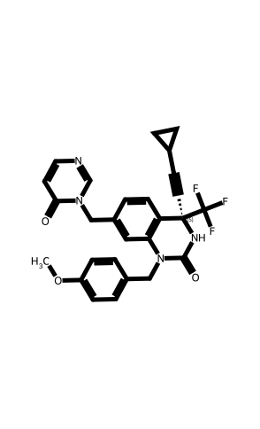 COc1ccc(CN2C(=O)N[C@](C#CC3CC3)(C(F)(F)F)c3ccc(Cn4cnccc4=O)cc32)cc1